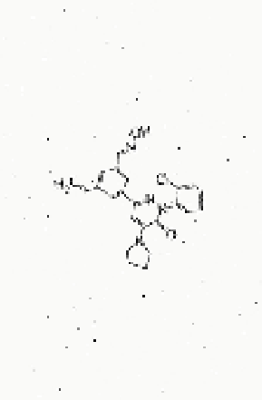 C=Cc1cc(C=NO)cc(-c2cc(N3CCCC3)c(=O)n(-c3ccccc3Cl)n2)c1